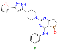 [O-][S+]1CCc2nc(N3CCC(c4cc(-c5ccco5)n[nH]4)CC3)nc(Nc3cccc(F)c3)c21